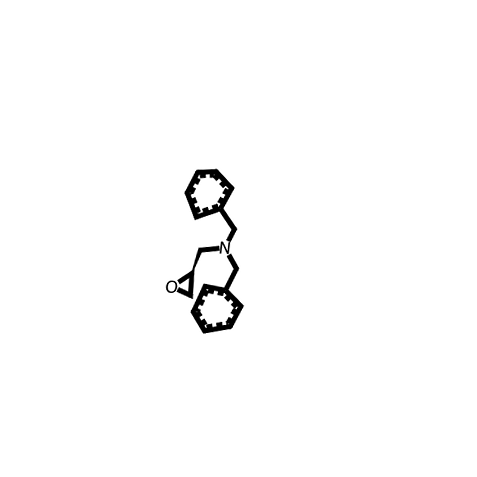 c1ccc(CN(Cc2ccccc2)C[C@H]2CO2)cc1